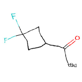 CC(C)(C)C(=O)C1CC(F)(F)C1